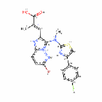 C/C(=C\c1nc2ccc(Br)nn2c1N(C)c1nc(-c2ccc(F)cc2)cs1)C(=O)O